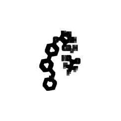 O=C(O)C(F)(F)F.O=C(O)c1[nH]nnc1Oc1ccc(-c2cccc(CN3CCCCC3)c2)cc1